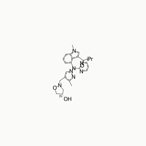 Cc1nn(N(c2ncccn2)c2cccc3c2c(C(=O)C(C)C)cn3C)cc1CN1C[C@H](O)CO1